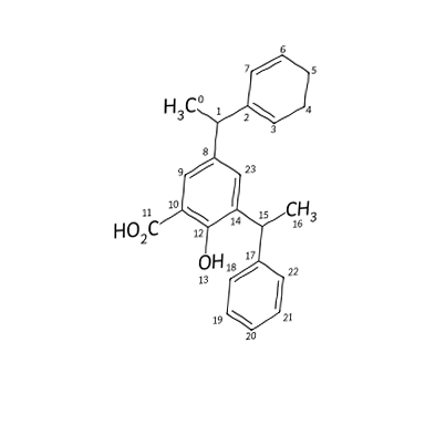 CC(C1=CCCC=C1)c1cc(C(=O)O)c(O)c(C(C)c2ccccc2)c1